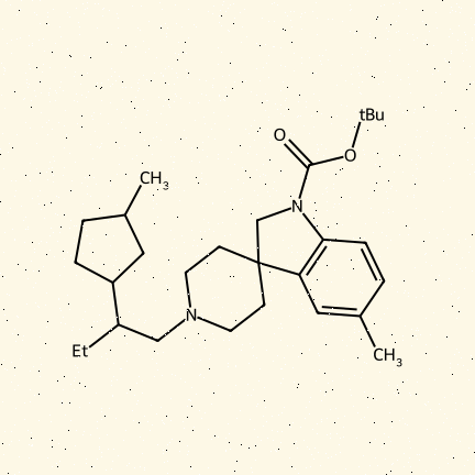 CCC(CN1CCC2(CC1)CN(C(=O)OC(C)(C)C)c1ccc(C)cc12)C1CCC(C)C1